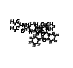 CC(C)NC(=O)c1ccc2ccn(-c3ccccc3COc3ccccc3C(=O)NC(C)(C)C)c2n1